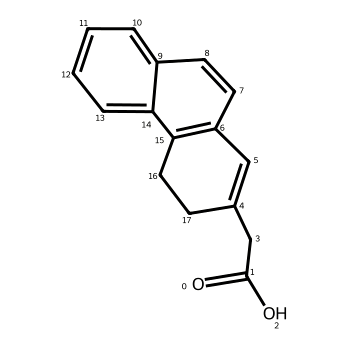 O=C(O)CC1=Cc2ccc3ccccc3c2CC1